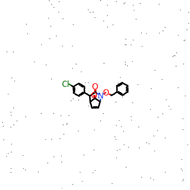 O=C1C2C=CC1N(OCc1ccccc1)C(=O)C2c1ccc(Cl)cc1